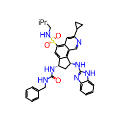 CC(C)CNS(=O)(=O)c1cc2c(c3cnc(C4CC4)cc13)[C@@H](Nc1nc3ccccc3[nH]1)C[C@@H]2NC(=O)NCc1ccccc1